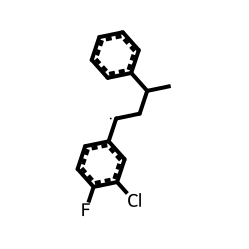 CC(C[CH]c1ccc(F)c(Cl)c1)c1ccccc1